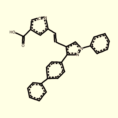 O=C(O)c1ccnc(C=Cc2cn(-c3ccccc3)nc2-c2ccc(-c3ccccc3)cc2)c1